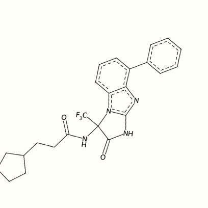 O=C(CCC1CCCC1)NC1(C(F)(F)F)C(=O)Nc2nc3c(-c4ccccc4)cccc3n21